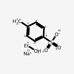 CCO.Cc1ccc(S(=O)(=O)[O-])cc1.[Na+]